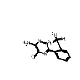 [2H]C([2H])([2H])c1ccccc1-c1cnc(N)c(Cl)n1